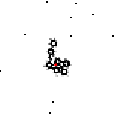 c1ccc(-c2ccc(CCc3cccc4c3sc3c(C5(c6ccccc6)c6ccccc6-c6ccccc65)cccc34)cc2)cc1